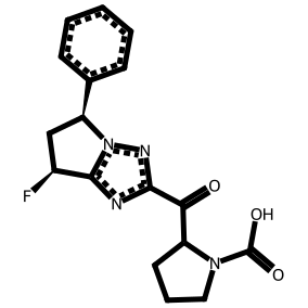 O=C(c1nc2n(n1)[C@H](c1ccccc1)C[C@@H]2F)C1CCCN1C(=O)O